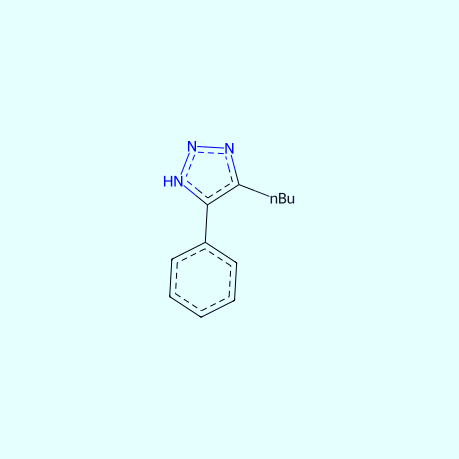 CCCCc1nn[nH]c1-c1ccccc1